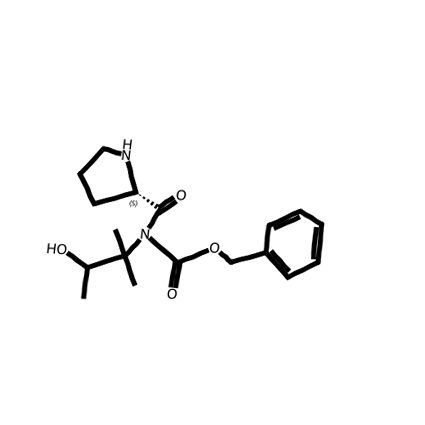 CC(O)C(C)(C)N(C(=O)OCc1ccccc1)C(=O)[C@@H]1CCCN1